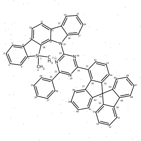 C[Si]1(C)c2ccccc2-c2ccc3c4ccccc4n(-c4nc(-c5ccccc5)nc(-c5cccc6c5-c5ccccc5C65c6ccccc6-c6ccccc65)n4)c3c21